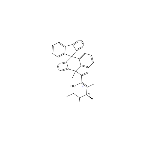 C=C(/C(O)=C(\C)[C@@H](C)C(C)CC)C1(C)c2ccccc2C2(c3ccccc3-c3ccccc32)c2ccccc21